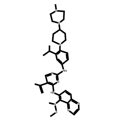 C=C(C)c1cnc(Nc2ccc(N3CCC(N4CCN(C)CC4)CC3)c(C(C)C)c2)nc1Nc1ccc2nccnc2c1N(C)SC